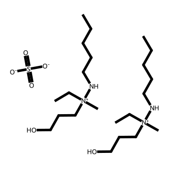 CCCCCN[N+](C)(CC)CCCO.CCCCCN[N+](C)(CC)CCCO.O=S(=O)([O-])[O-]